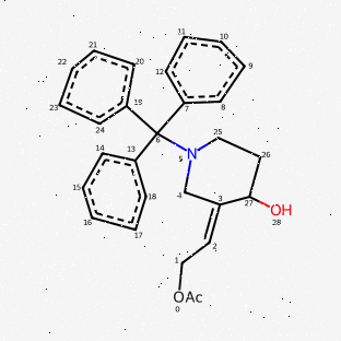 CC(=O)OCC=C1CN(C(c2ccccc2)(c2ccccc2)c2ccccc2)CCC1O